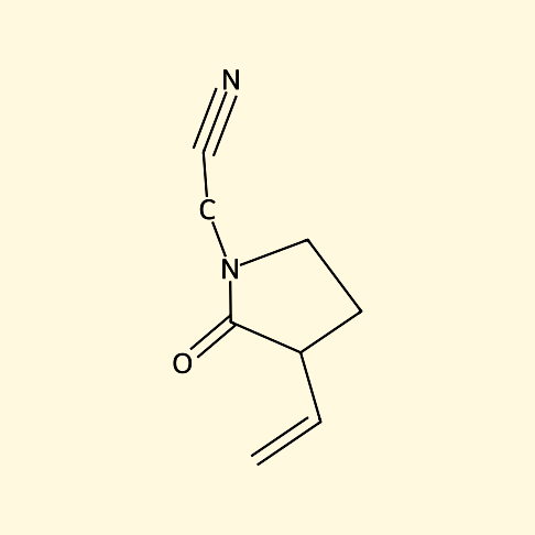 C=CC1CCN(CC#N)C1=O